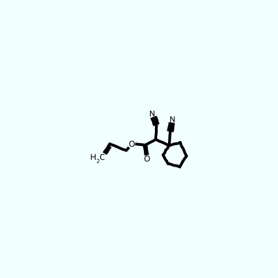 C=CCOC(=O)C(C#N)C1(C#N)CCCCC1